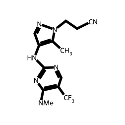 CNc1nc(Nc2cnn(CCC#N)c2C)ncc1C(F)(F)F